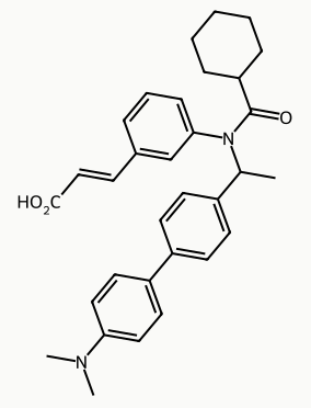 CC(c1ccc(-c2ccc(N(C)C)cc2)cc1)N(C(=O)C1CCCCC1)c1cccc(C=CC(=O)O)c1